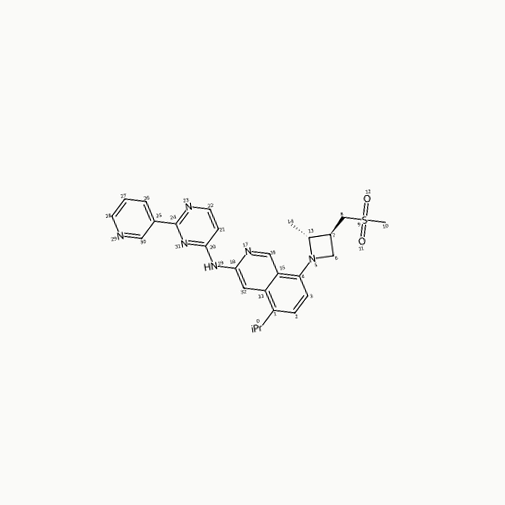 CC(C)c1ccc(N2C[C@H](CS(C)(=O)=O)[C@H]2C)c2cnc(Nc3ccnc(-c4cccnc4)n3)cc12